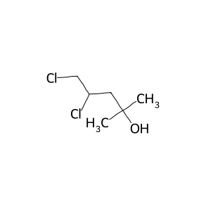 CC(C)(O)CC(Cl)CCl